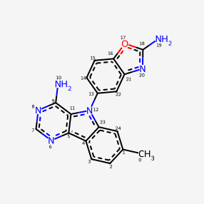 Cc1ccc2c3ncnc(N)c3n(-c3ccc4oc(N)nc4c3)c2c1